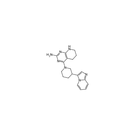 Nc1nc2c(c(N3CCCC(c4cnc5ccccn45)C3)n1)CCCN2